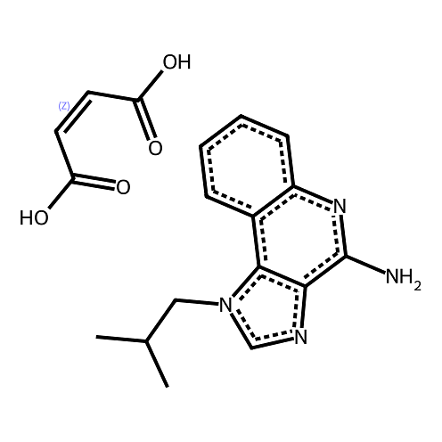 CC(C)Cn1cnc2c(N)nc3ccccc3c21.O=C(O)/C=C\C(=O)O